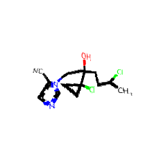 CC(Cl)CCC(O)(Cn1cncc1C#N)C1(Cl)CC1